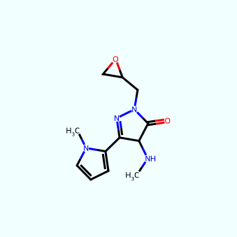 CNC1C(=O)N(CC2CO2)N=C1c1cccn1C